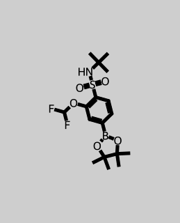 CC(C)(C)NS(=O)(=O)c1ccc(B2OC(C)(C)C(C)(C)O2)cc1OC(F)F